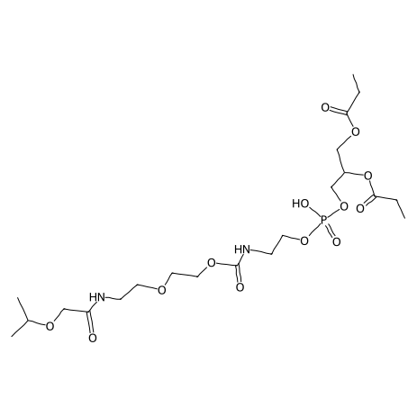 CCC(=O)OCC(COP(=O)(O)OCCNC(=O)OCCOCCNC(=O)COC(C)C)OC(=O)CC